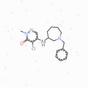 Cn1ncc([AsH]C2CCCCN(Cc3ccccc3)C2)c(Cl)c1=O